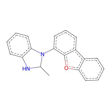 CC1Nc2ccccc2N1c1cccc2c1oc1ccccc12